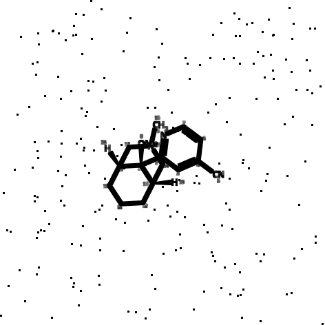 CO[C@]1(c2cc(C#N)ccn2)[C@@H]2CCC[C@H]1CN(C)C2